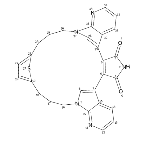 O=C1NC(=O)C2=C1c1cn(c3ncccc13)CCCc1ccc(s1)CCCn1cc2c2cccnc21